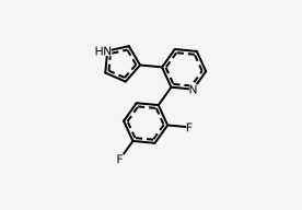 Fc1ccc(-c2ncccc2-c2cc[nH]c2)c(F)c1